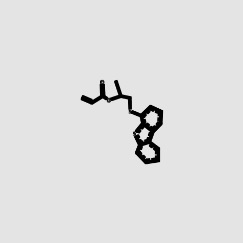 C=CC(=O)OC(C)CSc1cccc2c1sc1ccccc12